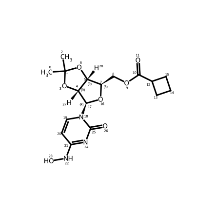 CC1(C)O[C@@H]2[C@H](O1)[C@@H](COC(=O)C1CCC1)O[C@H]2n1ccc(NO)nc1=O